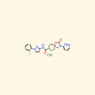 Cl.O=C1O[C@]2(CC[C@H](C(=O)Nc3ccn(-c4ccccc4F)n3)CC2)CN1c1cccnn1